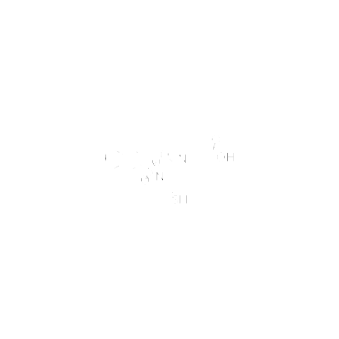 O=C(O)C1CCN(C(=O)[C@@H]2C[C@@H](S)CN2S(=O)(=O)c2ccc3ccccc3c2)CC1